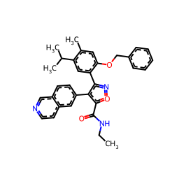 CCNC(=O)c1onc(-c2cc(C(C)C)c(C)cc2OCc2ccccc2)c1-c1ccc2cnccc2c1